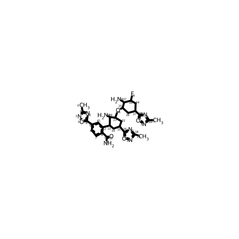 Cc1noc(-c2ccc(C(N)=O)c(C3CC(c4nc(C)no4)CC(OC4CC(c5nc(C)no5)CC(F)C4N)C3N)c2)n1